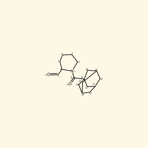 O=CC1CCCCN1C(=O)C12CC3CC(CC(C3)C1)C2